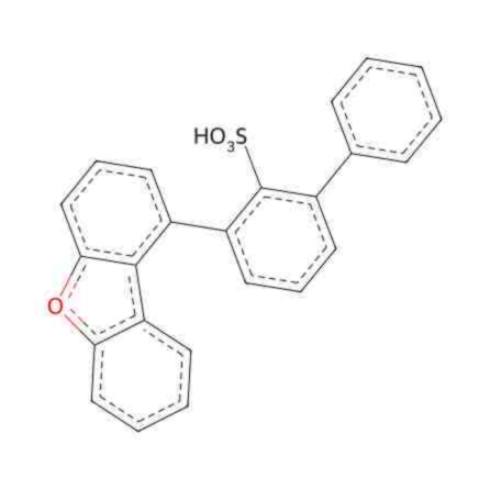 O=S(=O)(O)c1c(-c2ccccc2)cccc1-c1cccc2oc3ccccc3c12